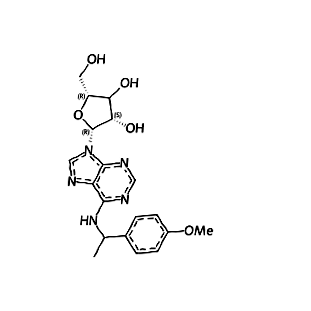 COc1ccc(C(C)Nc2ncnc3c2ncn3[C@@H]2O[C@H](CO)C(O)[C@@H]2O)cc1